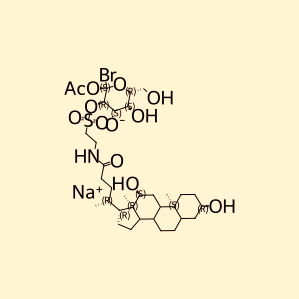 CC(=O)O[C@@]1(Br)O[C@H](CO)[C@@H](O)[C@H]([O-])[C@H]1OS(=O)(=O)CCNC(=O)CC[C@@H](C)[C@H]1CCC2C3CCC4C[C@H](O)CC[C@]4(C)C3C[C@H](O)[C@@]21C.[Na+]